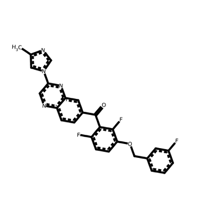 Cc1cn(-c2cnc3ccc(C(=O)c4c(F)ccc(OCc5cccc(F)c5)c4F)cc3n2)cn1